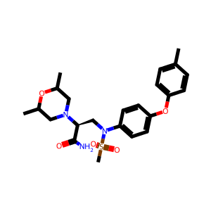 Cc1ccc(Oc2ccc(N(C[C@@H](C(N)=O)N3CC(C)OC(C)C3)S(C)(=O)=O)cc2)cc1